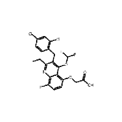 CCc1nc2c(F)ccc(OCC(=O)O)c2c(OC(F)F)c1Cc1ccc(Cl)cc1Cl